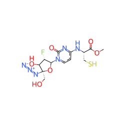 COC(=O)[C@H](CS)Nc1ccn(C2O[C@@](CO)(N=[N+]=[N-])C(O)[C@@H]2F)c(=O)n1